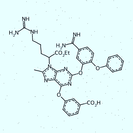 CCOC(=O)C(CCCNC(=N)N)n1c(C)nc2c(Oc3cccc(C(=O)O)c3)nc(Oc3cc(C(=N)N)ccc3Oc3ccccc3)nc21